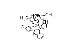 Cc1cc(C)c(B(c2c(C)cc(C)cc2C)c2cc3c(-c4ccc(F)cc4)nc4ccccc4c3c3ccccc23)c(C)c1